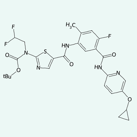 Cc1cc(F)c(C(=O)Nc2ccc(OC3CC3)cn2)cc1NC(=O)c1cnc(N(CC(F)F)C(=O)OC(C)(C)C)s1